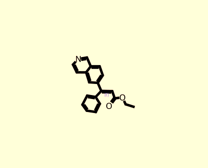 CCOC(=O)/C=C(\c1ccccc1)c1ccc2cnccc2c1